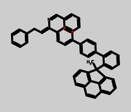 CC1(c2ccccc2-c2ccc(-c3ccc(C(=C/Cc4ccccc4)/N=C\c4ccccc4)cc3)cc2)c2cccc3ccc4cccc1c4c23